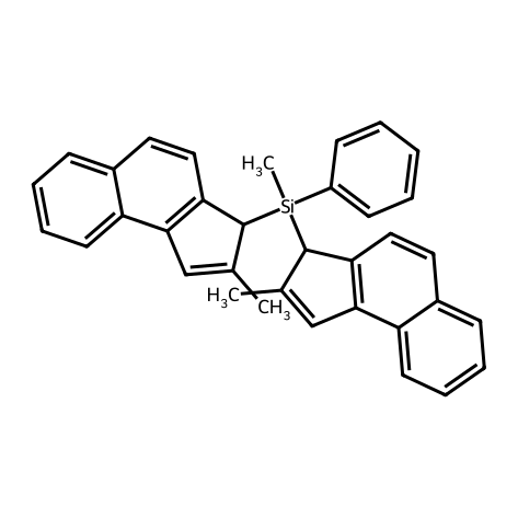 CC1=Cc2c(ccc3ccccc23)C1[Si](C)(c1ccccc1)C1C(C)=Cc2c1ccc1ccccc21